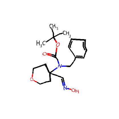 CC(C)(C)OC(=O)N(Cc1ccccc1)C1(/C=N/O)CCOCC1